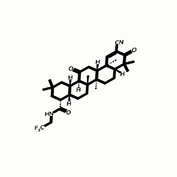 CC1(C)C[C@H]2[C@H](CC[C@]3(C)[C@@H]2C(=O)C[C@@H]2[C@@]4(C)C=C(C#N)C(=O)C(C)(C)[C@@H]4CC[C@]23C)[C@H](C(=O)NCC(F)(F)F)C1